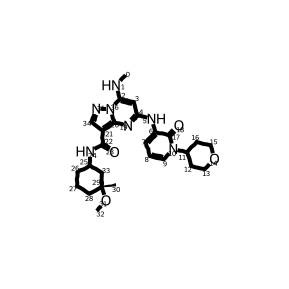 CNc1cc(Nc2cccn(C3CCOCC3)c2=O)nc2c(C(=O)NC3CCC[C@@](C)(OC)C3)cnn12